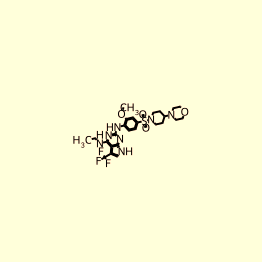 CCNc1nc(Nc2ccc(S(=O)(=O)N3CCC(N4CCOCC4)CC3)cc2OC)nc2[nH]cc(C(F)(F)F)c12